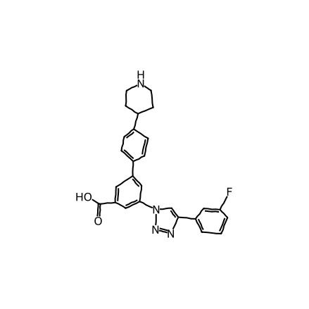 O=C(O)c1cc(-c2ccc(C3CCNCC3)cc2)cc(-n2cc(-c3cccc(F)c3)nn2)c1